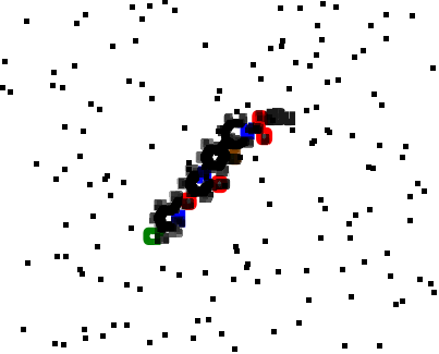 CC(C)(C)OC(=O)N1CCCc2c(sc3cc(-n4ccc(OCc5ccc(Cl)cn5)cc4=O)ccc23)C1